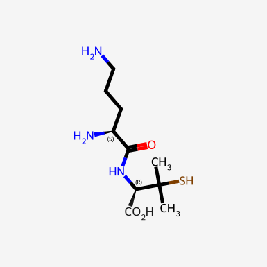 CC(C)(S)[C@H](NC(=O)[C@@H](N)CCCN)C(=O)O